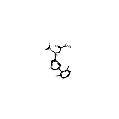 COC(=O)C[C@@H](c1cncc(-c2c(C)cccc2C)c1)N1C=C1I